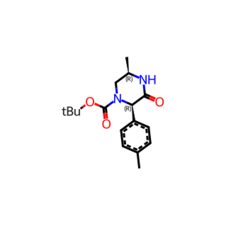 Cc1ccc([C@@H]2C(=O)N[C@H](C)CN2C(=O)OC(C)(C)C)cc1